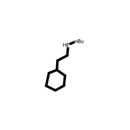 CCCCPCCC1CCCCC1